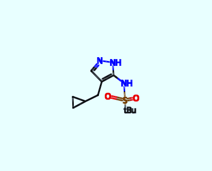 CC(C)(C)S(=O)(=O)Nc1[nH]ncc1CC1CC1